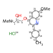 CNC[C@H](O)COc1cc(-c2ccc(C)cc2)nc2cc(OC)ccc12.Cl